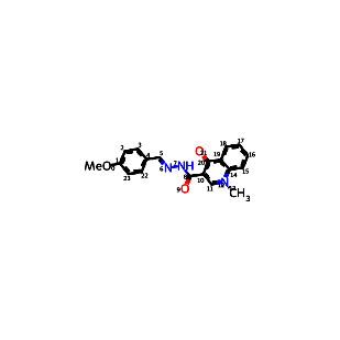 COc1ccc(C=NNC(=O)c2cn(C)c3ccccc3c2=O)cc1